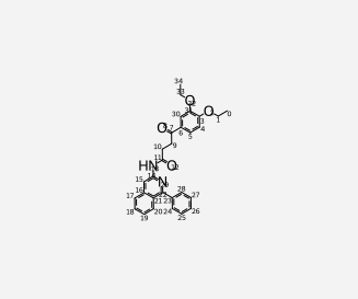 CCOc1ccc(C(=O)CCC(=O)Nc2cc3ccccc3c(-c3ccccc3)n2)cc1OCC